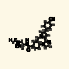 CN(C)CCNC(=O)c1ccc2c(c1)Cn1cc(-c3ccc(C#N)cc3)cc1-c1nccn1-2